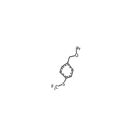 CC(C)OCc1ccc(SC(F)(F)F)cc1